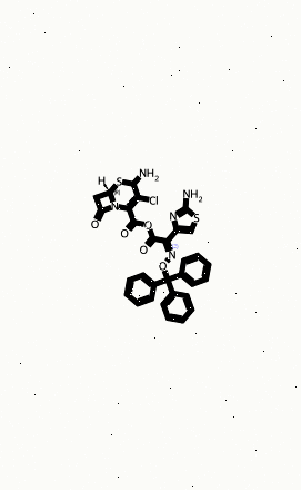 Nc1nc(/C(=N/OC(c2ccccc2)(c2ccccc2)c2ccccc2)C(=O)OC(=O)C2=C(Cl)C(N)S[C@@H]3CC(=O)N23)cs1